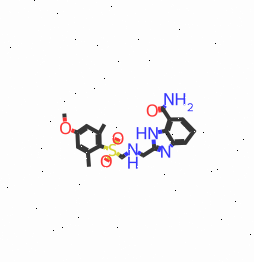 COc1cc(C)c(S(=O)(=O)CNCc2nc3cccc(C(N)=O)c3[nH]2)c(C)c1